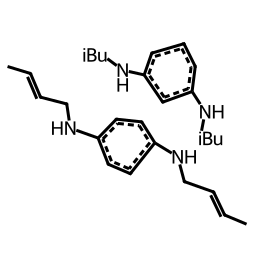 CC=CCNc1ccc(NCC=CC)cc1.CCC(C)Nc1cccc(NC(C)CC)c1